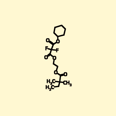 CCC(C)(C)C(=O)OCCOC(=O)C(F)(F)C(=O)OC1CCCCC1